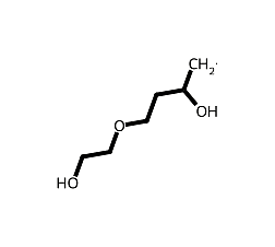 [CH2]C(O)CCOCCO